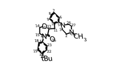 CN1CCN(c2ccccc2CC2OCCN(c3ccc(C(C)(C)C)cc3)C2=O)CC1